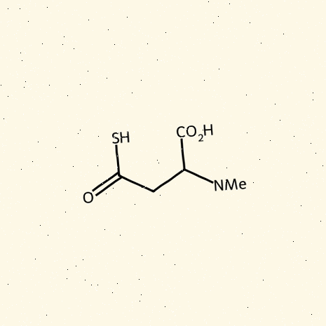 CNC(CC(=O)S)C(=O)O